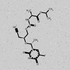 C#CC[C@@H](CO[PH](=O)N[C@@H](C)C(=O)OC(C)C)O[C@H](C)n1cc(F)c(=O)[nH]c1=O